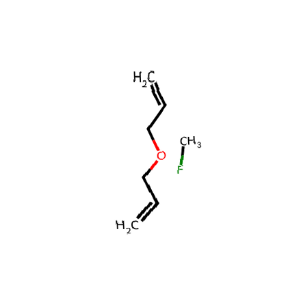 C=CCOCC=C.CF